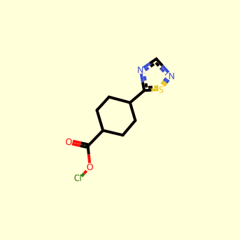 O=C(OCl)C1CCC(c2ncns2)CC1